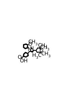 COc1ccccc1-n1nc(C2CC(C)(C)OC(C)(C)C2)cc1-c1ccc(C(=O)O)cc1